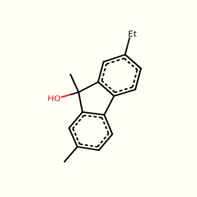 CCc1ccc2c(c1)C(C)(O)c1cc(C)ccc1-2